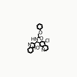 O=C(COc1ccccc1)NC(c1cnc2ccccc2c1)c1cc(Cl)c2cccnc2c1O